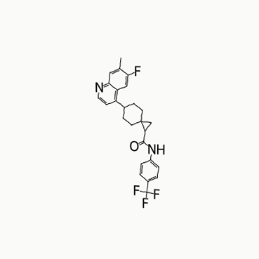 Cc1cc2nccc(C3CCC4(CC3)CC4C(=O)Nc3ccc(C(F)(F)F)cc3)c2cc1F